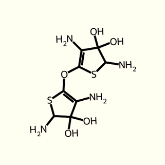 NC1=C(OC2=C(N)C(O)(O)C(N)S2)SC(N)C1(O)O